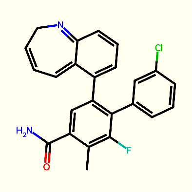 Cc1c(C(N)=O)cc(-c2cccc3c2=CC=CCN=3)c(-c2cccc(Cl)c2)c1F